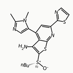 CCCC[S@@+]([O-])c1sc2nc(-c3nccs3)cc(-c3cnc(C)n3C)c2c1N